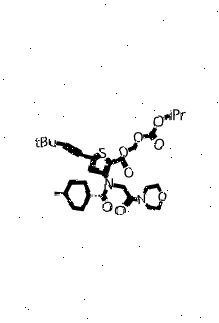 CC(C)OC(=O)OCOC(=O)c1sc(C#CC(C)(C)C)cc1N(CC(=O)N1CCOCC1)C(=O)[C@H]1CC[C@H](C)CC1